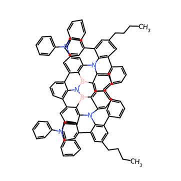 CCCCc1cc(-c2ccccc2)c(N2c3ccccc3B3c4c(cc(N(c5ccccc5)c5ccccc5)cc42)-c2cccc4c2N3B2c3ccccc3N(c3c(-c5ccccc5)cc(CCCC)cc3-c3ccccc3)c3cc(N(c5ccccc5)c5ccccc5)cc-4c32)c(-c2ccccc2)c1